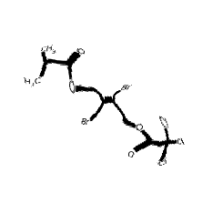 CC(C)C(=O)OC/C(Br)=C(\Br)COC(=O)C(Cl)(Cl)Cl